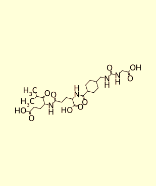 CC(C)C(=O)C(CCC(=O)O)NC(=O)CCC(NC(=O)C1CCC(CNC(=O)NCC(=O)O)CC1)C(=O)O